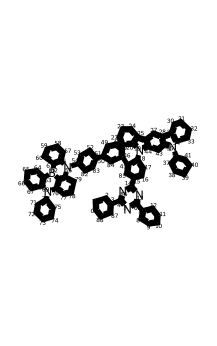 c1ccc(-c2nc(-c3ccccc3)nc(-c3ccc(-n4c5ccccc5c5cc6c7ccccc7n(-c7ccccc7)c6cc54)c(-c4cccc(-c5ccc(N6c7ccccc7B7c8ccccc8N(c8ccccc8)c8cccc6c87)cc5)c4)c3)n2)cc1